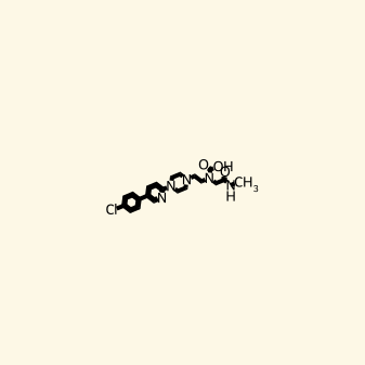 CNC(=O)CN(CCN1CCN(c2ccc(-c3ccc(Cl)cc3)cn2)CC1)C(=O)O